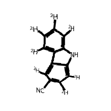 [2H]c1c([2H])c([2H])c2c([nH]c3c([2H])c([2H])c(C#N)c([2H])c32)c1[2H]